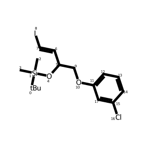 CC(C)(C)[Si](C)(C)OC(/C=C/I)COc1cccc(Cl)c1